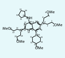 COCCN(CCOC)c1nc(N2CCC(OC)CC2)c2nc(N(CCOC)CCOC)nc(NC3CCCC3)c2n1